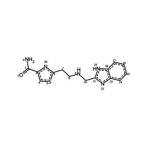 NC(=O)c1csc(CCNCc2nc3ccccc3[nH]2)n1